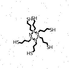 SCCCN1P(CCCS)N=P(CCCS)(CCCS)N(CCCS)P1CCCS